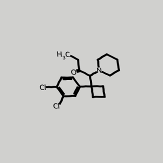 CCC(=O)C(N1CCCCC1)C1(c2ccc(Cl)c(Cl)c2)CCC1